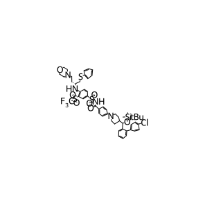 CC(C)(C)[Si](C)(C)OC(c1ccccc1-c1ccc(Cl)cc1)C1CCN(c2ccc(C(=O)NS(=O)(=O)c3ccc(N[C@H](CCN4CCOCC4)CSc4ccccc4)c(S(=O)(=O)C(F)(F)F)c3)cc2)CC1